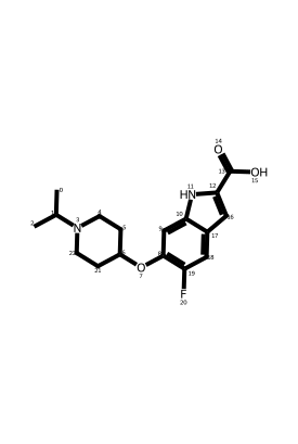 CC(C)N1CCC(Oc2cc3[nH]c(C(=O)O)cc3cc2F)CC1